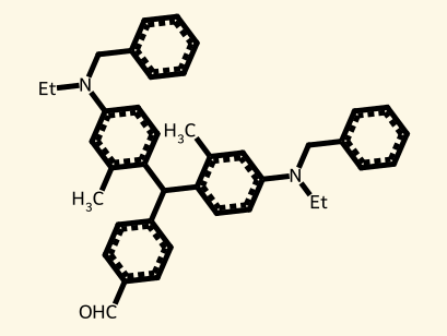 CCN(Cc1ccccc1)c1ccc(C(c2ccc(C=O)cc2)c2ccc(N(CC)Cc3ccccc3)cc2C)c(C)c1